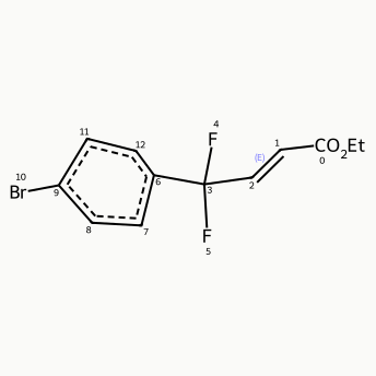 CCOC(=O)/C=C/C(F)(F)c1ccc(Br)cc1